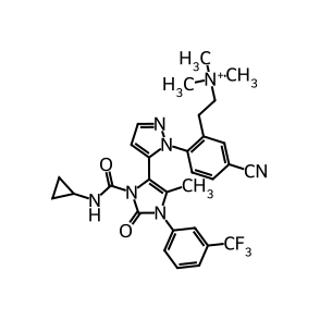 Cc1c(-c2ccnn2-c2ccc(C#N)cc2CC[N+](C)(C)C)n(C(=O)NC2CC2)c(=O)n1-c1cccc(C(F)(F)F)c1